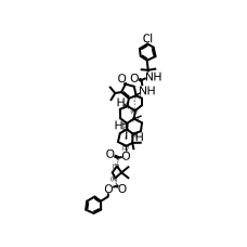 CC(C)C1=C2[C@H]3CC[C@@H]4[C@@]5(C)CC[C@H](OC(=O)[C@H]6C[C@@H](C(=O)OCc7ccccc7)C6(C)C)C(C)(C)[C@@H]5CC[C@@]4(C)[C@]3(C)CC[C@@]2(NC(=O)NC(C)(C)c2ccc(Cl)cc2)CC1=O